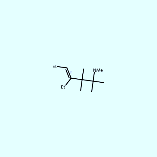 CC/C=C(\CC)C(C)(C)C(C)(C)NC